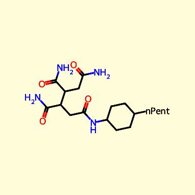 CCCCCC1CCC(NC(=O)CC(C(N)=O)C(CC(N)=O)C(N)=O)CC1